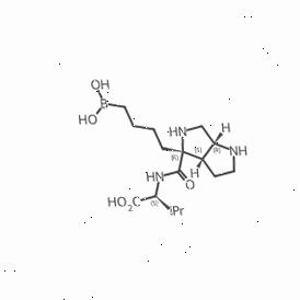 CC(C)[C@H](NC(=O)[C@]1(CCCCB(O)O)NC[C@@H]2NCC[C@@H]21)C(=O)O